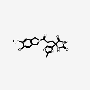 Cc1nc(C2(CCC(=O)N3Cc4cc(Cl)c(C(F)(F)F)cc4C3)NC(=O)NC2=O)co1